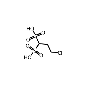 O=S(=O)(O)C(CCCl)S(=O)(=O)O